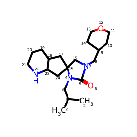 CC(C)CN1C(=O)N(CC2CCOCC2)CC12CC1CCCNC1C2